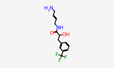 NCC=CCNC(=O)C(O)Cc1cccc(C(F)(F)F)c1